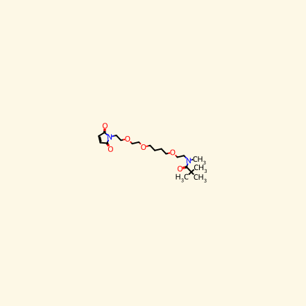 CN(CCOCCCCOCCOCCN1C(=O)C=CC1=O)C(=O)C(C)(C)C